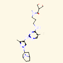 Cc1nn(C2CC3CCC(C2)N3C)cc1Nc1ncc(C(F)(F)F)c(NCCCN(C)C(=O)C2COC2)n1